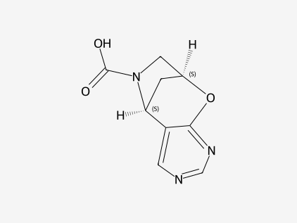 O=C(O)N1C[C@@H]2C[C@H]1c1cncnc1O2